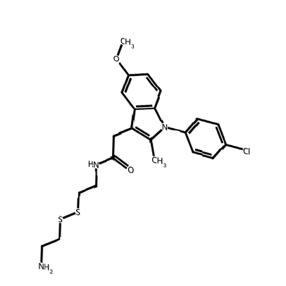 COc1ccc2c(c1)c(CC(=O)NCCSSCCN)c(C)n2-c1ccc(Cl)cc1